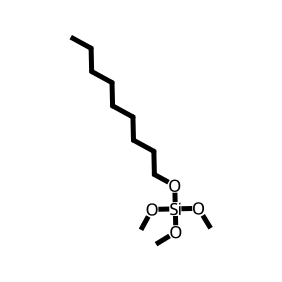 CCCCCCCCCO[Si](OC)(OC)OC